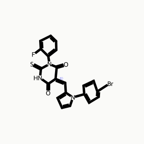 O=C1NC(=S)N(c2ccccc2F)C(=O)/C1=C/c1cccn1-c1ccc(Br)cc1